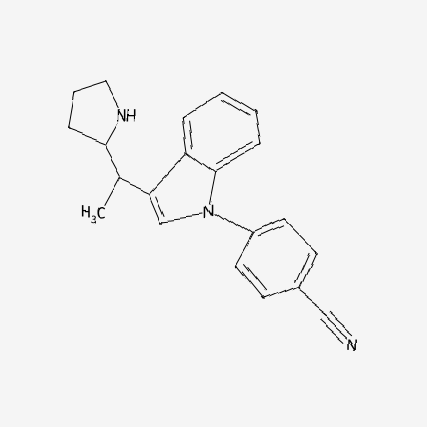 CC(c1cn(-c2ccc(C#N)cc2)c2ccccc12)C1CCCN1